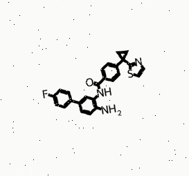 Nc1ccc(-c2ccc(F)cc2)cc1NC(=O)c1ccc(C2(c3nccs3)CC2)cc1